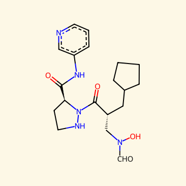 O=CN(O)C[C@@H](CC1CCCC1)C(=O)N1NCC[C@H]1C(=O)Nc1cccnc1